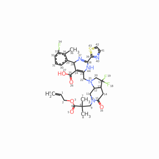 C=CCOC(=O)C(C)(C)CN1CC2C(CC1=O)C(F)(F)CN2CC1=C(C(=O)O)C(c2cccc(F)c2C)N=C(c2nccs2)N1